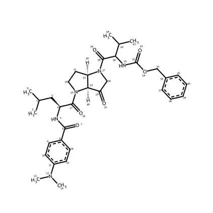 CC(C)C[C@H](NC(=O)c1ccc(N(C)C)cc1)C(=O)N1CC[C@@H]2[C@H]1C(=O)CN2C(=O)C(NC(=O)OCc1ccccc1)C(C)C